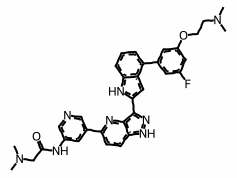 CN(C)CCOc1cc(F)cc(-c2cccc3[nH]c(-c4n[nH]c5ccc(-c6cncc(NC(=O)CN(C)C)c6)nc45)cc23)c1